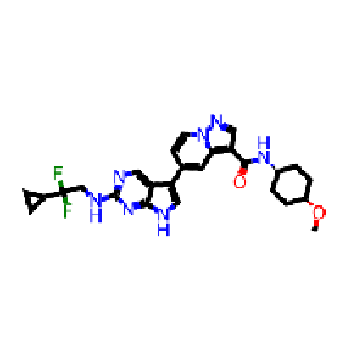 CO[C@H]1CC[C@H](NC(=O)c2cnn3ccc(-c4c[nH]c5nc(NCC(F)(F)C6CC6)ncc45)cc23)CC1